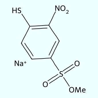 COS(=O)(=O)c1ccc(S)c([N+](=O)[O-])c1.[Na+]